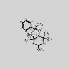 CC(=O)OC1CC(C)(C)N(OC(C)(C)c2ccccc2)C(C)(C)C1